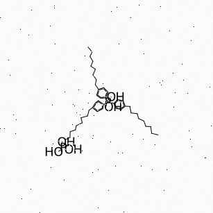 CCCCCCCCCc1ccc(P(O)(O)(c2ccc(CCCCCCCCC)cc2)c2ccc(CCCCCCCCC)cc2)cc1.OP(O)O